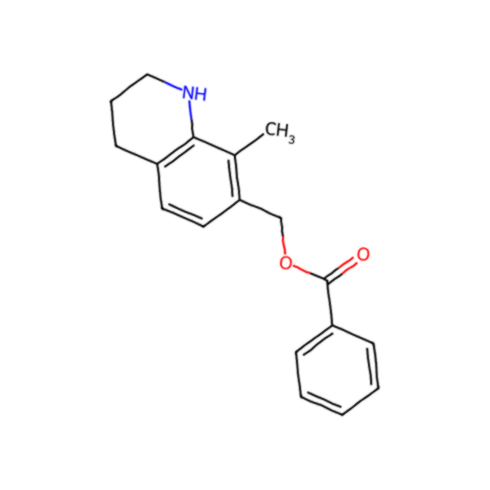 Cc1c(COC(=O)c2ccccc2)ccc2c1NCCC2